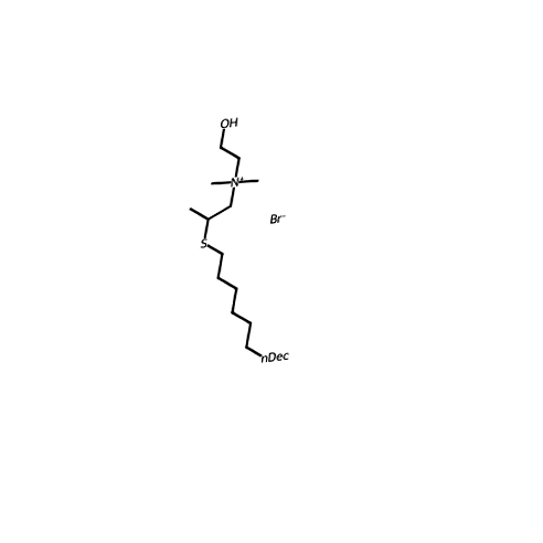 CCCCCCCCCCCCCCCCSC(C)C[N+](C)(C)CCO.[Br-]